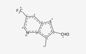 Cc1c(C=O)sc2cc(C(F)(F)F)cnc12